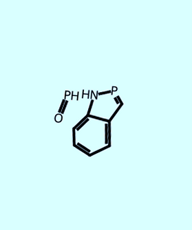 O=P.c1ccc2[nH]pcc2c1